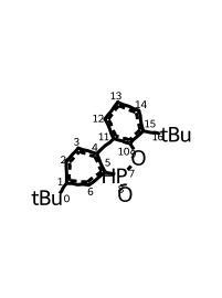 CC(C)(C)c1ccc2c(c1)[PH](=O)Oc1c-2cccc1C(C)(C)C